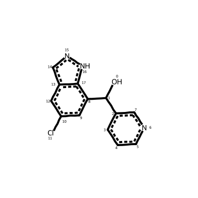 OC(c1cccnc1)c1cc(Cl)cc2cn[nH]c12